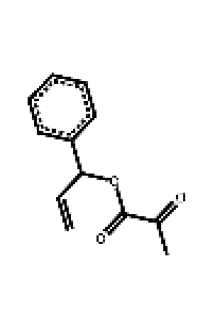 C=CC(OC(=O)C(C)=O)c1ccccc1